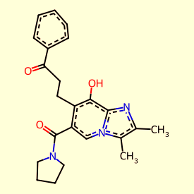 Cc1nc2c(O)c(CCC(=O)c3ccccc3)c(C(=O)N3CCCC3)cn2c1C